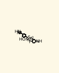 CNC1CCC(F)[C@@H](N(C)c2nnc(-c3ccc(-c4cn[nH]c4)cc3O)s2)C1